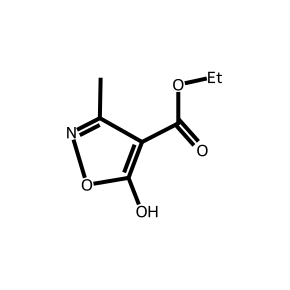 CCOC(=O)c1c(C)noc1O